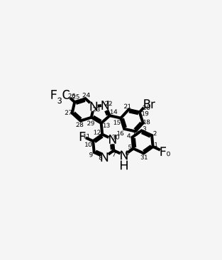 Fc1cccc(Nc2ncc(F)c(-c3c(-c4cccc(Br)c4)nn4cc(C(F)(F)F)ccc34)n2)c1